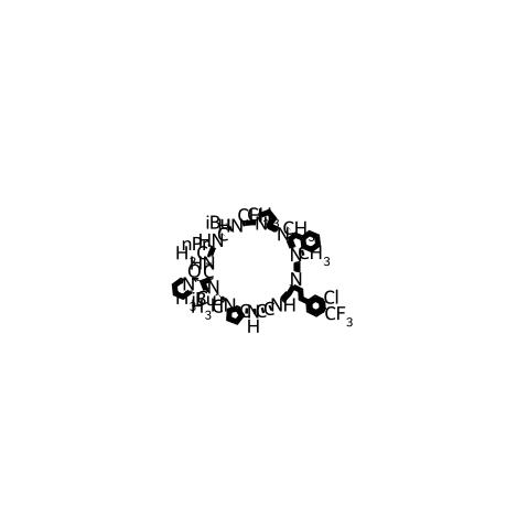 CCC[C@@H]1NC[C@H]([C@@H](C)CC)NC(C)[C@H](C)N2CCCC2=CN(C)C(CC2CCCCC2)=CN(C)C=CN=C(CCc2ccc(C(F)(F)F)c(Cl)c2)C=CNCCNCC2(CCCC2)NC(C)[C@H]([C@@H](C)CC)N2C(C)[C@H](C(=O)N3CCCCC3)C2CNC1C